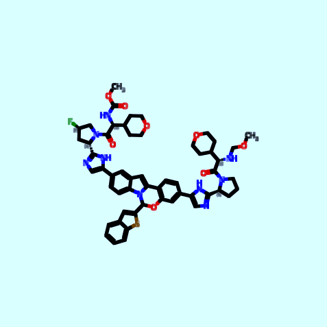 COCN[C@H](C(=O)N1CCC[C@H]1c1ncc(-c2ccc3c(c2)OC(c2cc4ccccc4s2)n2c-3cc3cc(-c4cnc([C@@H]5C[C@@H](F)CN5C(=O)[C@@H](NC(=O)OC)C5CCOCC5)[nH]4)ccc32)[nH]1)C1CCOCC1